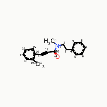 CN(CCc1ccccc1)C(=O)C#Cc1ccccc1C(F)(F)F